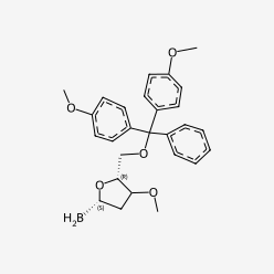 B[C@H]1CC(OC)[C@@H](COC(c2ccccc2)(c2ccc(OC)cc2)c2ccc(OC)cc2)O1